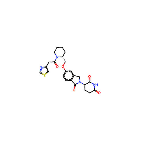 O=C1CCC(N2Cc3cc(OC[C@H]4CCCCN4C(=O)Cc4cscn4)ccc3C2=O)C(=O)N1